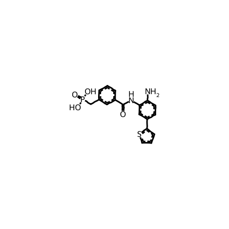 Nc1ccc(-c2cccs2)cc1NC(=O)c1cccc(CP(=O)(O)O)c1